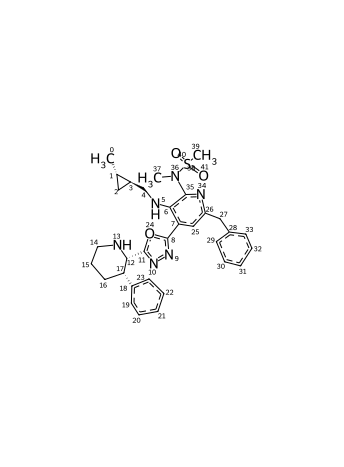 C[C@H]1C[C@@H]1CNc1c(-c2nnc([C@H]3NCCC[C@H]3c3ccccc3)o2)cc(Cc2ccccc2)nc1N(C)S(C)(=O)=O